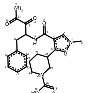 Cn1cc(C(=O)NC(Cc2ccccc2)C(=O)C(N)=O)c(C2CCCN(C(=O)O)C2)n1